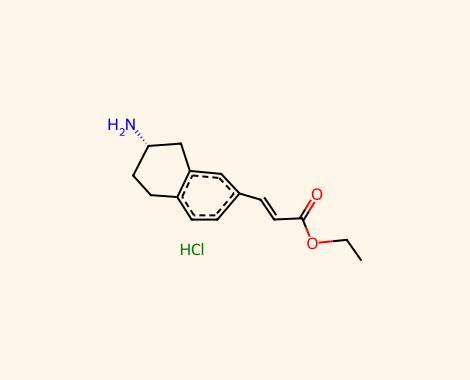 CCOC(=O)C=Cc1ccc2c(c1)C[C@@H](N)CC2.Cl